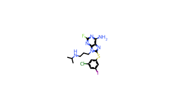 CC(C)NCCCn1c(Sc2cc(Cl)cc(I)c2)nc2c(N)nc(F)nc21